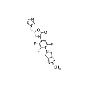 Cn1cc2c(n1)CN(c1c(F)cc(N3C[C@H](Cn4ccnn4)OC3=O)c(F)c1F)C2